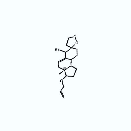 C=CCOC1CCC2C3CCC4(CCOO4)C(CC)C3=CC[C@@]12C